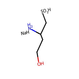 NC(CCO)CS(=O)(=O)O.[NaH]